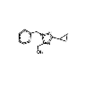 OCc1nc(C2CC2)nn1Cc1ccccc1